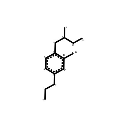 CCCc1ccc(CC(C)CC)c(F)c1